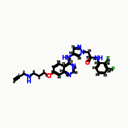 C#CCNCCCOc1ccc2c(Nc3cnn(CC(=O)Nc4cccc(F)c4F)c3)ncnc2c1